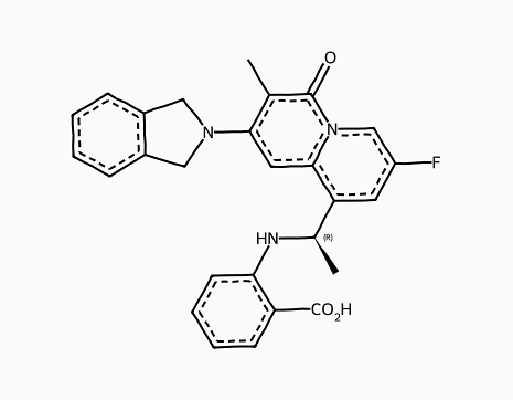 Cc1c(N2Cc3ccccc3C2)cc2c([C@@H](C)Nc3ccccc3C(=O)O)cc(F)cn2c1=O